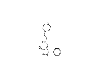 O=C1ON=C(c2ccccc2)C1=CNCCN1CCOCC1